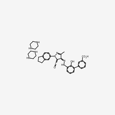 C1CNCCN1.C1CNCCN1.CC1=NN(c2ccc3c(c2)CCC3)C(=C=O)C1=NNc1cccc(-c2cccc(C(=O)O)c2)c1O